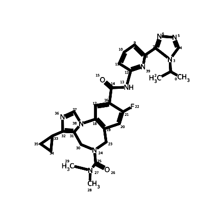 CC(C)n1cnnc1-c1cccc(NC(=O)c2cc3c(cc2F)CN(C(=O)N(C)C)Cc2c(C4CC4)ncn2-3)n1